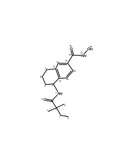 CCC(C)(C)C(=O)NC1CCCc2cc(C(=O)NO)ccc21